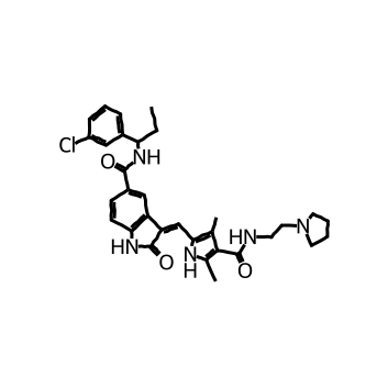 CCC(NC(=O)c1ccc2c(c1)C(=Cc1[nH]c(C)c(C(=O)NCCN3CCCC3)c1C)C(=O)N2)c1cccc(Cl)c1